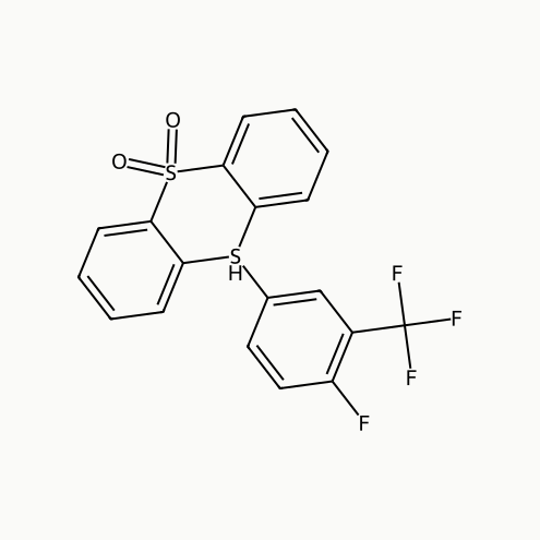 O=S1(=O)c2ccccc2[SH](c2ccc(F)c(C(F)(F)F)c2)c2ccccc21